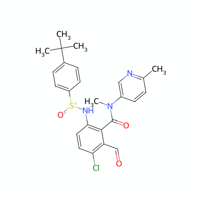 Cc1ccc(N(C)C(=O)c2c(N[S+]([O-])c3ccc(C(C)(C)C)cc3)ccc(Cl)c2C=O)cn1